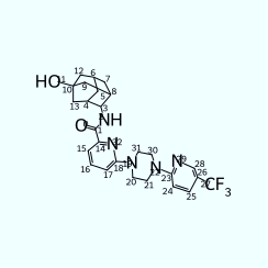 O=C(NC1C2CC3CC1CC(O)(C3)C2)c1cccc(N2CCN(c3ccc(C(F)(F)F)cn3)CC2)n1